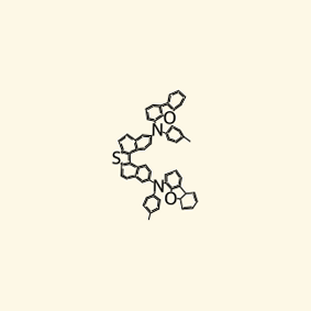 Cc1ccc(N(c2ccc3c(ccc4sc5ccc6cc(N(c7ccc(C)cc7)c7cccc8c7oc7ccccc78)ccc6c5c43)c2)c2cccc3c2OC2C=CC=CC32)cc1